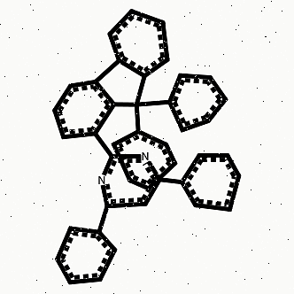 c1ccc(-c2cc(-c3ccccc3)nc(-c3cccc4c3C(c3ccccc3)(c3ccccc3)c3ccccc3-4)n2)cc1